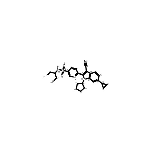 N#Cc1c(-c2ccc(S(=O)(=O)NC(CF)CF)cn2)n(C2CCCC2)c2cc(C3CC3)ccc12